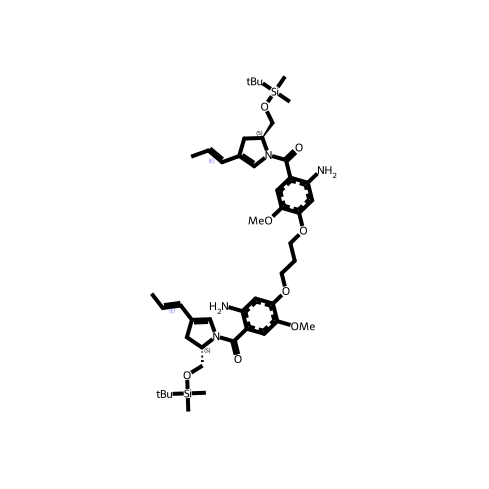 C/C=C/C1=CN(C(=O)c2cc(OC)c(OCCCOc3cc(N)c(C(=O)N4C=C(/C=C/C)C[C@H]4CO[Si](C)(C)C(C)(C)C)cc3OC)cc2N)[C@H](CO[Si](C)(C)C(C)(C)C)C1